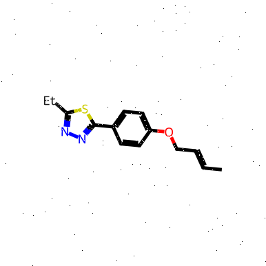 CC=CCOc1ccc(-c2nnc(CC)s2)cc1